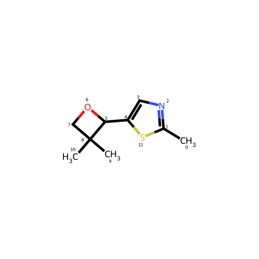 Cc1ncc(C2OCC2(C)C)s1